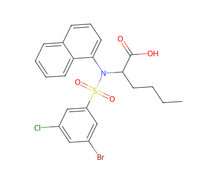 CCCCC(C(=O)O)N(c1cccc2ccccc12)S(=O)(=O)c1cc(Cl)cc(Br)c1